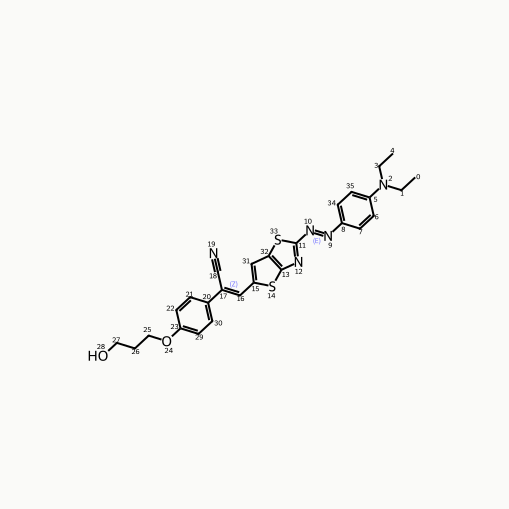 CCN(CC)c1ccc(/N=N/c2nc3sc(/C=C(\C#N)c4ccc(OCCCO)cc4)cc3s2)cc1